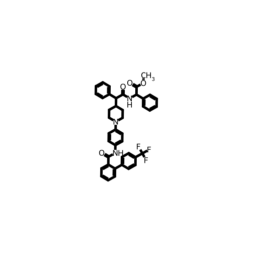 COC(=O)C(NC(=O)C(c1ccccc1)C1CCN(c2ccc(NC(=O)c3ccccc3-c3ccc(C(F)(F)F)cc3)cc2)CC1)c1ccccc1